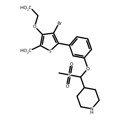 CS(=O)(=O)C(Oc1cccc(-c2sc(C(=O)O)c(OCC(=O)O)c2Br)c1)C1CCNCC1